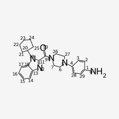 Nc1ccc(N2CCN(C(=O)c3nc4ccccc4n3C3CCCCC3)CC2)cc1